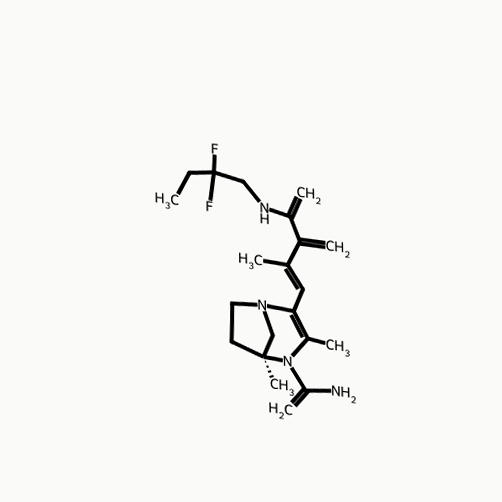 C=C(NCC(F)(F)CC)C(=C)/C(C)=C/C1=C(C)N(C(=C)N)[C@@]2(C)CCN1C2